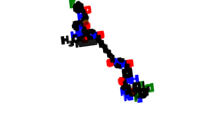 CN[C@H](C)C(=O)N[C@@H](C(=O)N1CCC[C@@H]1C1=NC(C(=O)c2ccc(F)cc2)CS1)C1CCN(C(=O)CCCCCCCCC(=O)N2CCN(C(=O)c3ccc(NC(=O)c4cnc(N)c(O[C@H](C)c5c(F)ccc(Cl)c5F)c4)cc3)CC2)CC1